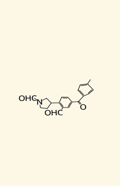 Cc1ccc(C(=O)c2ccc(C3CCN(C=O)C3)c(C=O)c2)cc1